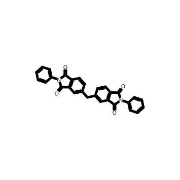 O=C1c2ccc(Cc3ccc4c(c3)C(=O)N(c3ccccc3)C4=O)cc2C(=O)N1c1ccccc1